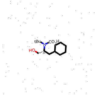 CC(C)(C)N(C(=O)O)[C@@H](CO)CC1CCCCC1